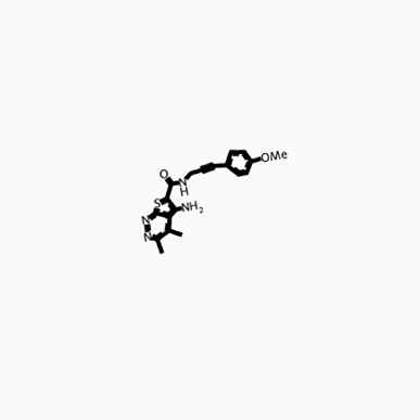 COc1ccc(C#CCNC(=O)c2sc3nnc(C)c(C)c3c2N)cc1